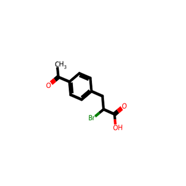 CC(=O)c1ccc(CC(Br)C(=O)O)cc1